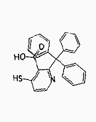 O=C(O)c1c(S)ccnc1C(c1ccccc1)(c1ccccc1)c1ccccc1